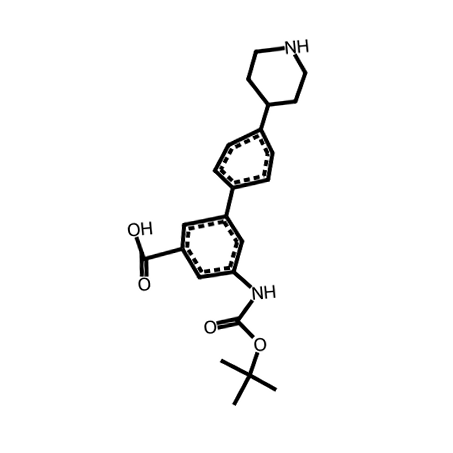 CC(C)(C)OC(=O)Nc1cc(C(=O)O)cc(-c2ccc(C3CCNCC3)cc2)c1